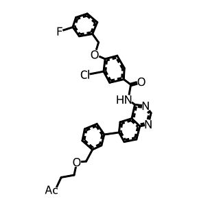 CC(=O)CCOCc1cccc(-c2ccc3ncnc(NC(=O)c4ccc(OCc5cccc(F)c5)c(Cl)c4)c3c2)c1